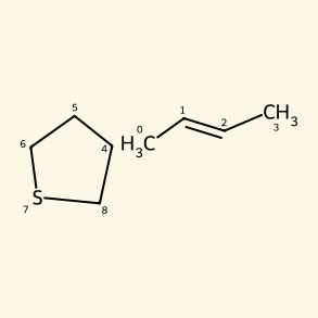 C/C=C/C.C1CCSC1